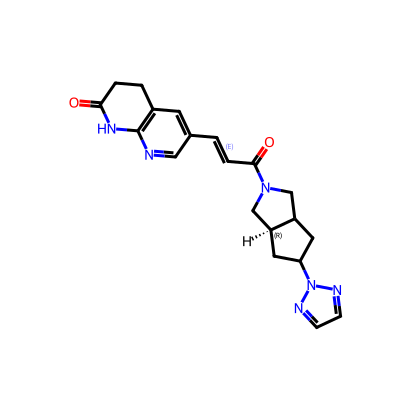 O=C1CCc2cc(/C=C/C(=O)N3CC4CC(n5nccn5)C[C@H]4C3)cnc2N1